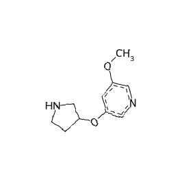 COc1cncc(OC2CCNC2)c1